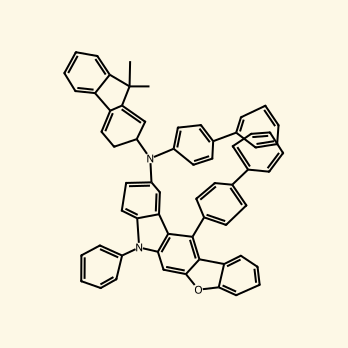 CC1(C)C2=CC(N(c3ccc(-c4ccccc4)cc3)c3ccc4c(c3)c3c(-c5ccc(-c6ccccc6)cc5)c5c(cc3n4-c3ccccc3)oc3ccccc35)CC=C2c2ccccc21